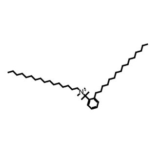 CCCCCCCCCCCCCCCCc1ccccc1C(C)(C)[N+](C)(C)CCCCCCCCCCCCCCCC